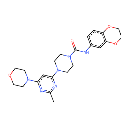 Cc1nc(N2CCOCC2)cc(N2CCN(C(=O)Nc3ccc4c(c3)OCCO4)CC2)n1